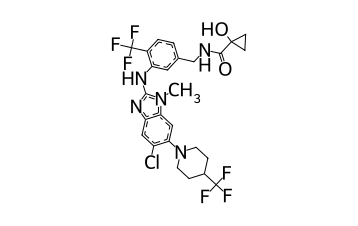 Cn1c(Nc2cc(CNC(=O)C3(O)CC3)ccc2C(F)(F)F)nc2cc(Cl)c(N3CCC(C(F)(F)F)CC3)cc21